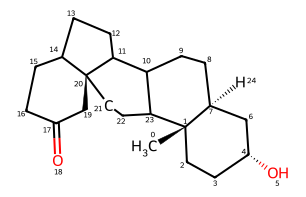 C[C@]12CC[C@@H](O)C[C@@H]1CCC1C3CCC4CCC(=O)C[C@@]43CCC12